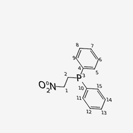 O=[N+]([O-])CCP(c1ccccc1)c1ccccc1